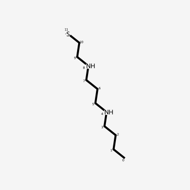 CCCCNCCCNCC[S]